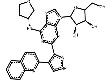 OCC1OC(n2cnc3c(N[C@@H]4CCOC4)nc(-c4n[nH]cc4-c4ccc5ccccc5n4)nc32)[C@H](O)[C@@H]1O